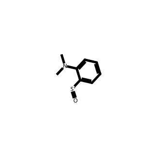 CN(C)c1ccccc1[S+]=O